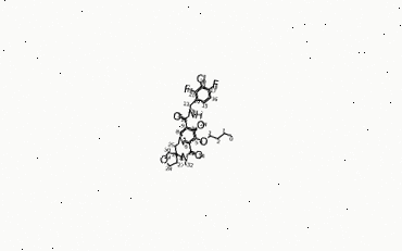 CCCCOc1c2n(cc(C(=O)NCc3ccc(F)c(Cl)c3F)c1=O)CC1(CCOC1)N(C)C2=O